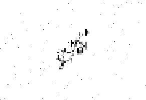 Cc1cc(-c2nc(CI)no2)co1